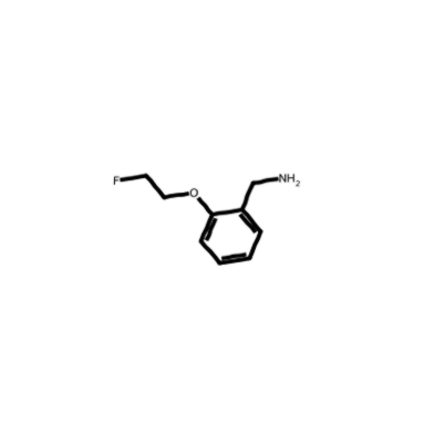 NCc1ccccc1OCCF